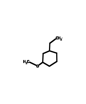 [CH2]CC1CCCC(OC)C1